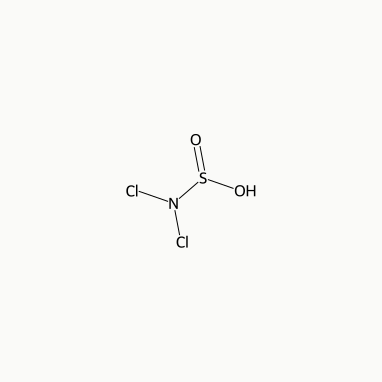 O=S(O)N(Cl)Cl